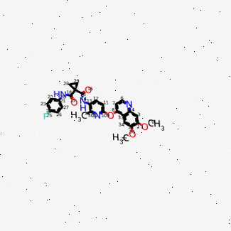 COc1cc2nccc(Oc3ccc(NC(=O)C4(C(=O)Nc5ccc(F)cc5)CC4)c(C)n3)c2cc1OC